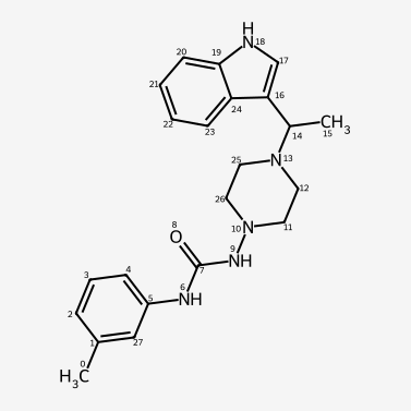 Cc1cccc(NC(=O)NN2CCN(C(C)c3c[nH]c4ccccc34)CC2)c1